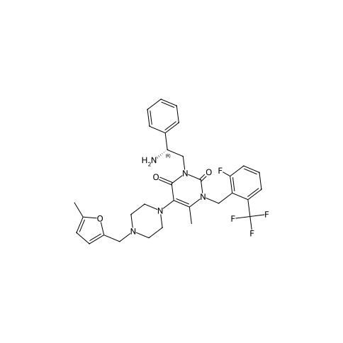 Cc1ccc(CN2CCN(c3c(C)n(Cc4c(F)cccc4C(F)(F)F)c(=O)n(C[C@H](N)c4ccccc4)c3=O)CC2)o1